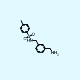 Cc1ccc(S(=O)(=O)NCc2cccc(CN)c2)cc1